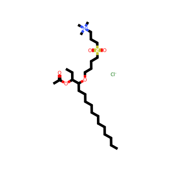 CCCCCCCCCCCCC(OCCCCS(=O)(=O)CCC[N+](C)(C)C)C(CC)OC(C)=O.[Cl-]